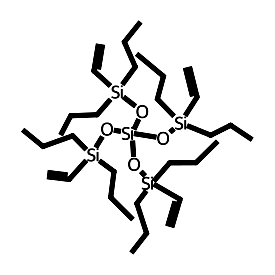 C=C[Si](CCC)(CCC)O[Si](O[Si](C=C)(CCC)CCC)(O[Si](C=C)(CCC)CCC)O[Si](C=C)(CCC)CCC